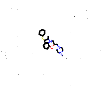 Cc1c(Sc2ccccc2)c2cccc3c2n1CC(CN1CCN(C)CC1)O3